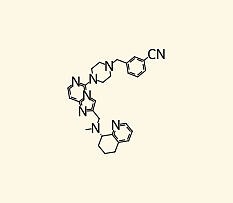 CN(Cc1cn2c(N3CCN(Cc4cccc(C#N)c4)CC3)nccc2n1)[C@H]1CCCc2cccnc21